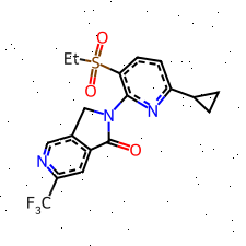 CCS(=O)(=O)c1ccc(C2CC2)nc1N1Cc2cnc(C(F)(F)F)cc2C1=O